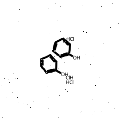 Cl.Cl.Cl.Oc1ccccc1.Oc1ccccc1